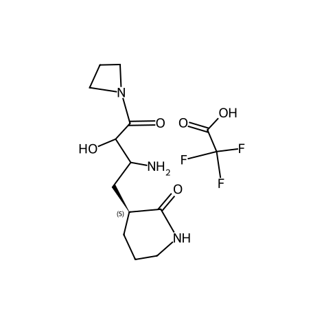 NC(C[C@@H]1CCCNC1=O)C(O)C(=O)N1CCC1.O=C(O)C(F)(F)F